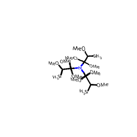 COC([SiH3])C(OC)(OC)N(C(OC)(OC)C([SiH3])OC)C(OC)(OC)C([SiH3])OC